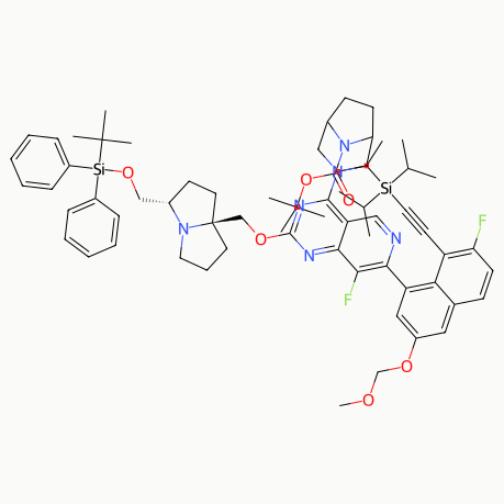 COCOc1cc(-c2ncc3c(N4CC5CCC(C4)N5C(=O)OC(C)(C)C)nc(OC[C@@]45CCCN4[C@H](CO[Si](c4ccccc4)(c4ccccc4)C(C)(C)C)CC5)nc3c2F)c2c(C#C[Si](C(C)C)(C(C)C)C(C)C)c(F)ccc2c1